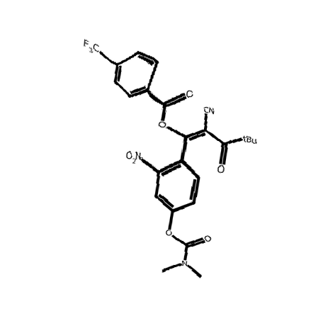 CN(C)C(=O)Oc1ccc(C(OC(=O)c2ccc(C(F)(F)F)cc2)=C(C#N)C(=O)C(C)(C)C)c([N+](=O)[O-])c1